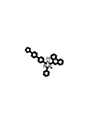 CN1C(c2ccccc2)N=C(c2ccc(-c3ccc(C4CCCC4)cc3)cc2)NC1c1cc2ccccc2c2ccccc12